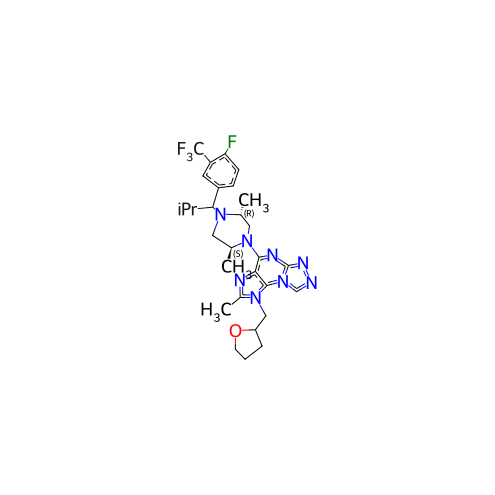 Cc1nc2c(N3C[C@@H](C)N(C(c4ccc(F)c(C(F)(F)F)c4)C(C)C)C[C@@H]3C)nc3nncn3c2n1CC1CCCO1